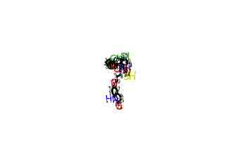 CC1(C(=O)c2c([N+](=CCCCOc3ccc4c(c3)CCC(=O)N4)OS)ccc(Cl)c2Cl)CCC2CC1C2(C)C